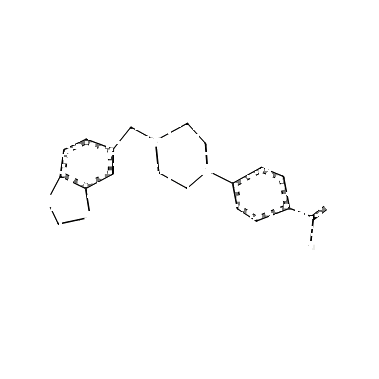 NC(=O)c1ccc(N2CCN(Cc3ccc4c(c3)OCO4)CC2)cc1